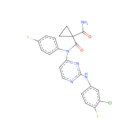 NC(=O)C1(C(=O)N(c2ccc(F)cc2)c2ccnc(Nc3ccc(F)c(Cl)c3)n2)CC1